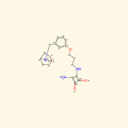 Nc1c(NCCCOc2cccc(CN3CC4CCC(CC4)C3)c2)c(=O)c1=O